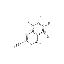 C#CC1=Cc2c(C)c(C)c(C)c(C)c2OC1